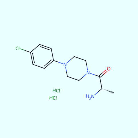 C[C@H](N)C(=O)N1CCN(c2ccc(Cl)cc2)CC1.Cl.Cl